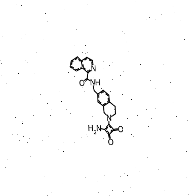 Nc1c(N2CCc3ccc(CNC(=O)c4nccc5ccccc45)cc3C2)c(=O)c1=O